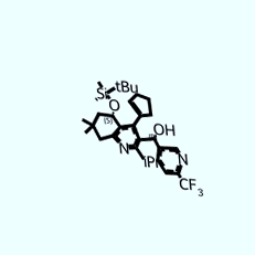 CC(C)c1nc2c(c(C3=CCCC3)c1[C@H](O)c1ccc(C(F)(F)F)nc1)[C@@H](O[Si](C)(C)C(C)(C)C)CC(C)(C)C2